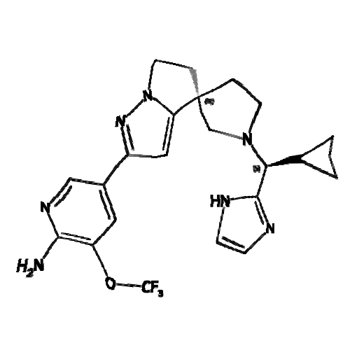 Nc1ncc(-c2cc3n(n2)CC[C@@]32CCN([C@H](c3ncc[nH]3)C3CC3)C2)cc1OC(F)(F)F